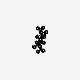 c1ccc(N(c2ccccc2)c2ccc3c(c2)N(c2ccccc2)c2cccc4c2B3n2c3ccccc3c3c5c6c(c-4c32)c2ccccc2n6B2c3ccc(N(c4ccccc4)c4ccccc4)cc3N(c3ccccc3)c3cccc-5c32)cc1